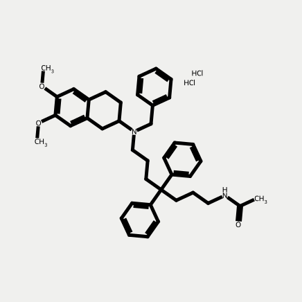 COc1cc2c(cc1OC)CC(N(CCCC(CCCNC(C)=O)(c1ccccc1)c1ccccc1)Cc1ccccc1)CC2.Cl.Cl